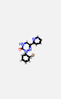 O=C1NCC(c2ccccn2)=NN1c1ccccc1Br